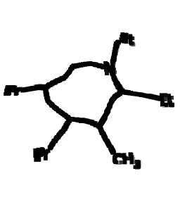 CCC1C(C)C(C(C)C)C(C(C)C)CN1CC